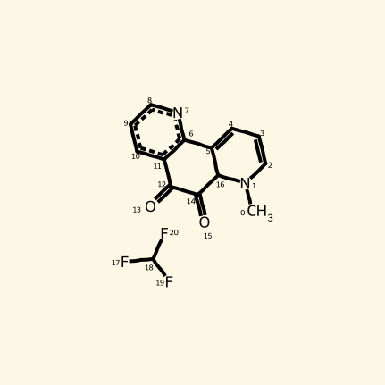 CN1C=CC=C2c3ncccc3C(=O)C(=O)C21.FC(F)F